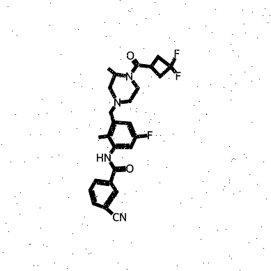 Cc1c(CN2CCN(C(=O)C3CC(F)(F)C3)C(C)C2)cc(F)cc1NC(=O)c1cccc(C#N)c1